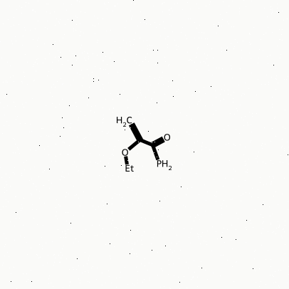 C=C(OCC)C(=O)P